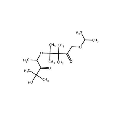 CC(N)OCC(=O)C(C)(C)C(C)(C)OC(C)C(=O)C(C)(C)O